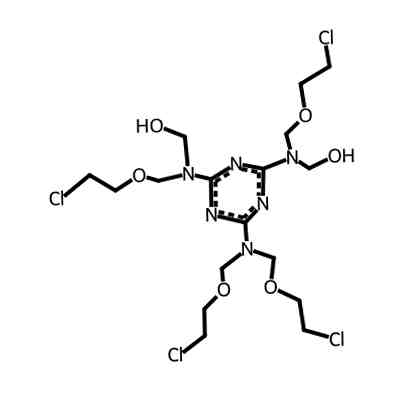 OCN(COCCCl)c1nc(N(CO)COCCCl)nc(N(COCCCl)COCCCl)n1